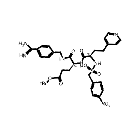 CC(C)(C)OC(=O)CC[C@H](NC(=O)[C@@H](CCc1ccncc1)NS(=O)(=O)Cc1ccc([N+](=O)[O-])cc1)C(=O)NCc1ccc(C(=N)N)cc1